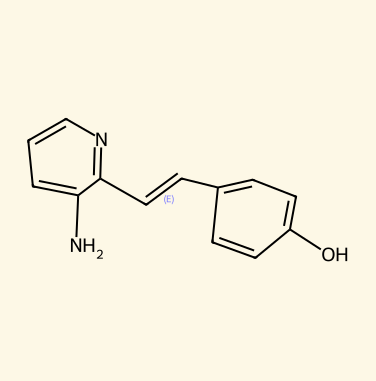 Nc1cccnc1/C=C/c1ccc(O)cc1